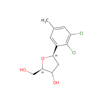 Cc1cc(Cl)c(Cl)c([C@H]2CC(O)[C@@H](CO)O2)c1